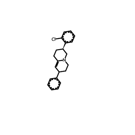 Clc1ccccc1[C@@H]1CCC2=CC(c3ccccc3)CCN2C1